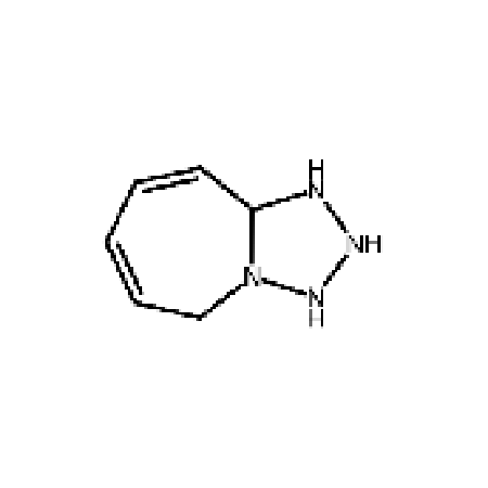 C1=CCN2NNNC2C=C1